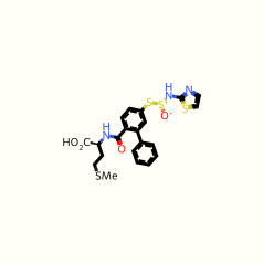 CSCC[C@H](NC(=O)c1ccc(S[S+]([O-])Nc2nccs2)cc1-c1ccccc1)C(=O)O